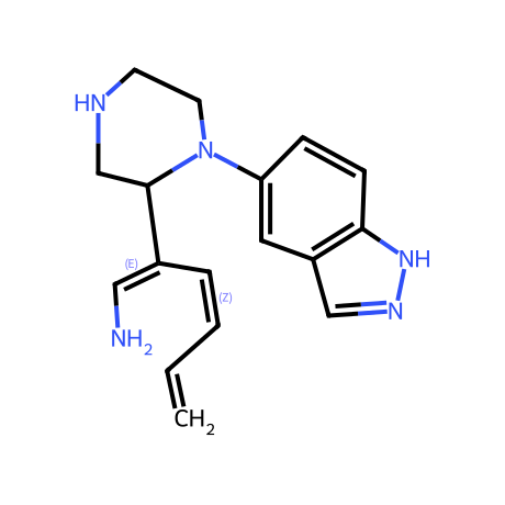 C=C/C=C\C(=C/N)C1CNCCN1c1ccc2[nH]ncc2c1